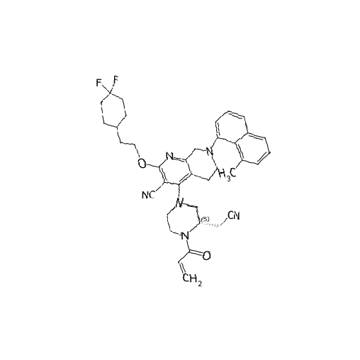 C=CC(=O)N1CCN(c2c(C#N)c(OCCC3CCC(F)(F)CC3)nc3c2CCN(c2cccc4cccc(C)c24)C3)C[C@@H]1CC#N